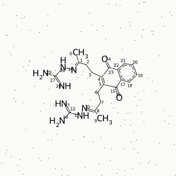 CC(CCC1=C(CCC(C)=NNC(=N)N)C(=O)c2ccccc2C1=O)=NNC(=N)N